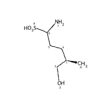 C[C@@H](CO)CCC(N)S(=O)(=O)O